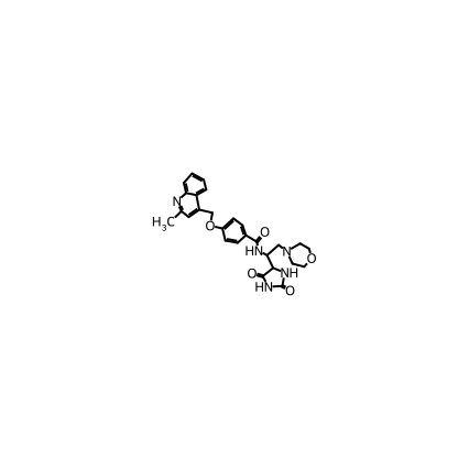 Cc1cc(COc2ccc(C(=O)NC(CN3CCOCC3)C3NC(=O)NC3=O)cc2)c2ccccc2n1